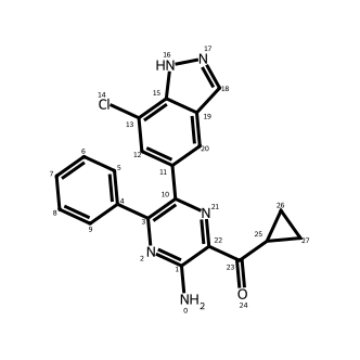 Nc1nc(-c2ccccc2)c(-c2cc(Cl)c3[nH]ncc3c2)nc1C(=O)C1CC1